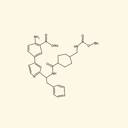 COC(=O)c1cc(-c2ccnc(C(Cc3ccccc3)NC(=O)C3CCC(CNC(=O)OC(C)(C)C)CC3)c2)ccc1N